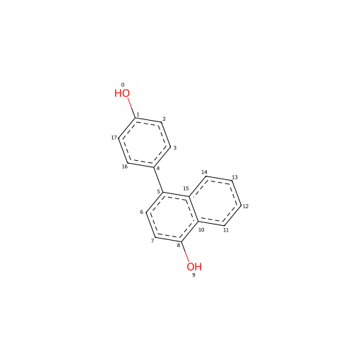 Oc1ccc(-c2ccc(O)c3ccccc23)cc1